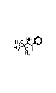 CC(C)(C)C(=N)Nc1ccccc1